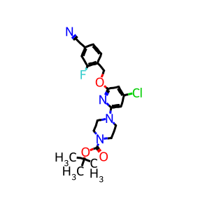 CC(C)(C)OC(=O)N1CCN(c2cc(Cl)cc(OCc3ccc(C#N)cc3F)n2)CC1